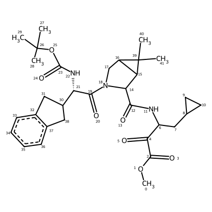 COC(=O)C(=O)C(CC1CC1)NC(=O)C1C2C(CN1C(=O)[C@@H](NC(=O)OC(C)(C)C)C1Cc3ccccc3C1)C2(C)C